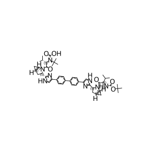 CC(C)[C@H](NC(=O)OC(C)(C)C)C(=O)N1[C@@H]2C[C@@H]2C[C@H]1c1nc(-c2ccc(-c3ccc(-c4c[nH]c([C@@H]5C[C@H]6C[C@H]6N5C(=O)[C@H](C(C)C)N(C(=O)O)C(C)(C)C)n4)cc3)cc2)c[nH]1